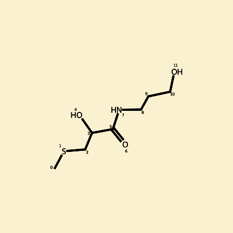 CSCC(O)C(=O)NCCCO